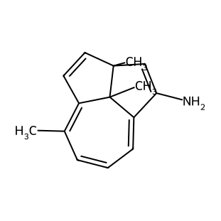 CC1=C2C=CC3(C)C=C(N)C(=CC=C1)C23C